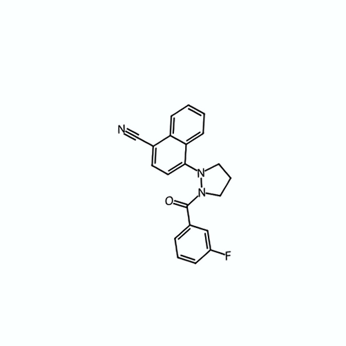 N#Cc1ccc(N2CCCN2C(=O)c2cccc(F)c2)c2ccccc12